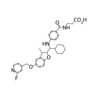 CC1c2cc(OCc3ccnc(F)c3)ccc2OC1C(Nc1ccc(C(=O)NCCC(=O)O)cc1)C1CCCCC1